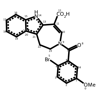 COc1ccc(Br)c(C(=O)N2C=C(C(=O)O)c3[nH]c4ccccc4c3CC2)c1